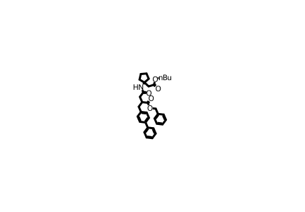 CCCCOC(=O)CC1(NC(=O)CC(Cc2ccc(-c3ccccc3)cc2)C(=O)OCc2ccccc2)CCCC1